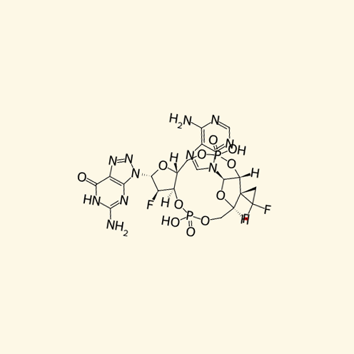 Nc1nc2c(nnn2[C@@H]2O[C@@H]3COP(=O)(O)O[C@H]4[C@H](n5cnc6c(N)ncnc65)O[C@H](COP(=O)(O)O[C@H]3[C@H]2F)[C@]42CC2(F)F)c(=O)[nH]1